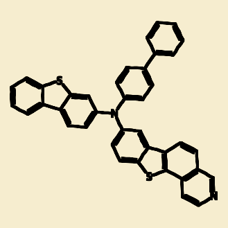 c1ccc(-c2ccc(N(c3ccc4c(c3)sc3ccccc34)c3ccc4sc5c6ccncc6ccc5c4c3)cc2)cc1